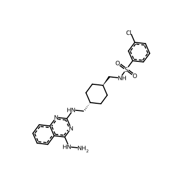 NNc1nc(NC[C@H]2CC[C@H](CNS(=O)(=O)c3cccc(Cl)c3)CC2)nc2ccccc12